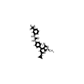 Cn1nc(N)c2c(-c3ccc(NC(=O)Nc4cccc(C(F)(F)F)c4)cc3)cc(C3CC3)nc21